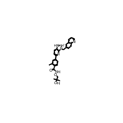 Cc1cc(-c2ccc3c(n2)N(Cc2ccc4ncccc4c2)NN3)ccc1C(=O)NOCC(C)(C)O